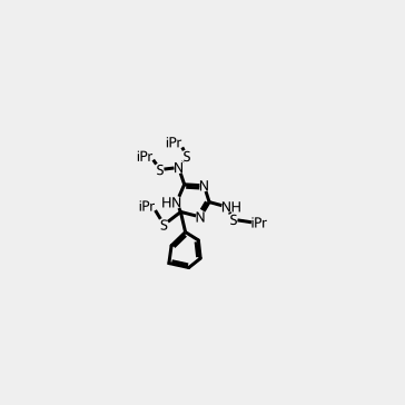 CC(C)SNC1=NC(SC(C)C)(c2ccccc2)NC(N(SC(C)C)SC(C)C)=N1